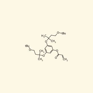 C=CC(=O)Oc1cc(OC(C)(C)CCOC(C)(C)C)cc(OC(C)(C)CCOC(C)(C)C)c1